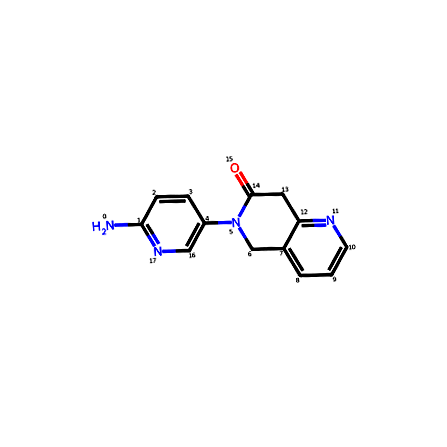 Nc1ccc(N2Cc3cccnc3CC2=O)cn1